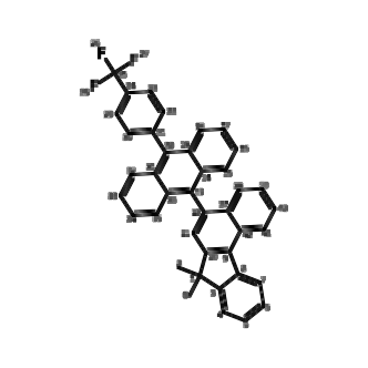 CC1(C)c2ccccc2-c2c1cc(-c1c3ccccc3c(-c3ccc(C(F)(F)F)cc3)c3ccccc13)c1ccccc21